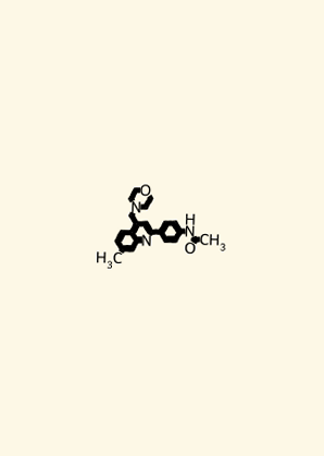 CC(=O)Nc1ccc(-c2cc(CN3CCOCC3)c3ccc(C)cc3n2)cc1